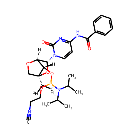 [2H]C(C)[C@@]12CO[C@@H]([C@H](n3ccc(NC(=O)c4ccccc4)nc3=O)O1)[C@@H]2OP(OCC[N+]#[C-])N(C(C)C)C(C)C